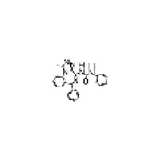 Cc1nnc2n1-c1ccccc1C(c1ccccc1)=NC2NC(=O)Nc1ccccc1